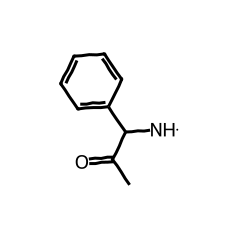 CC(=O)C([NH])c1ccccc1